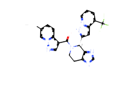 Cc1ccc2c(C(=O)N3CCc4[nH]cnc4[C@@H]3c3cc4c(C(F)(F)F)cccn4n3)cnn2c1